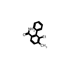 CCc1c(C)ccc(C(N)=O)c1-c1ccccc1